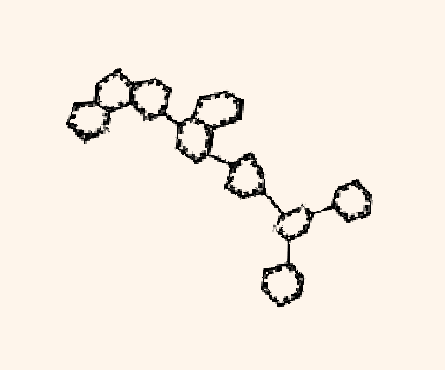 c1ccc(-c2cc(-c3ccccc3)nc(-c3ccc(-c4ccc(-c5ccc6ccc7cccnc7c6n5)c5ccccc45)cc3)n2)cc1